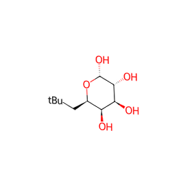 CC(C)(C)C[C@H]1O[C@H](O)[C@H](O)[C@@H](O)[C@H]1O